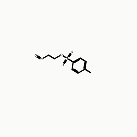 Cc1ccc(S(=O)(=O)OCCN=O)cc1